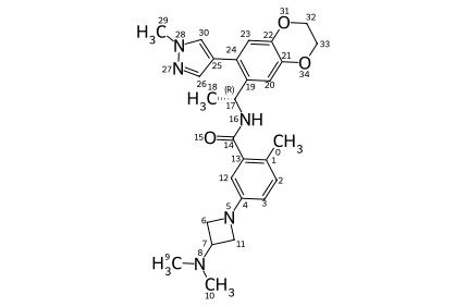 Cc1ccc(N2CC(N(C)C)C2)cc1C(=O)N[C@H](C)c1cc2c(cc1-c1cnn(C)c1)OCCO2